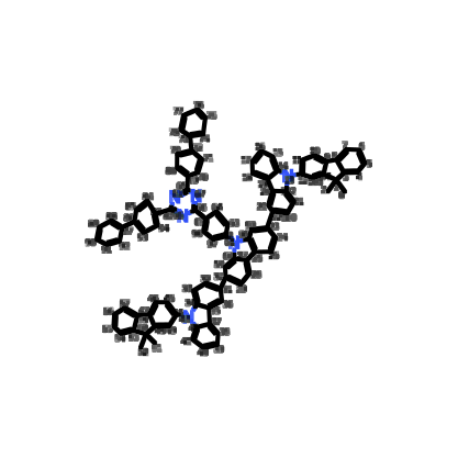 CC1(C)c2ccccc2-c2ccc(-n3c4ccccc4c4cc(-c5ccc6c7ccc(-c8ccc9c(c8)c8ccccc8n9-c8ccc9c(c8)C(C)(C)c8ccccc8-9)cc7n(-c7ccc(-c8nc(-c9ccc(-c%10ccccc%10)cc9)nc(-c9ccc(-c%10ccccc%10)cc9)n8)cc7)c6c5)ccc43)cc21